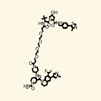 CNC(=O)N1CCc2c(c(N3CCCc4cc(-c5cnn(C)c5)c(C(F)F)cc43)nn2C2CCN(C(=O)CCOCCOCCOCCOCCC(=O)N[C@H](C(=O)N3C[C@H](O)C[C@H]3C(=O)NCc3ccc(-c4scnc4C)cc3)C(C)(C)C)CC2)C1